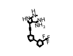 CNc1[nH]cc(C#Cc2cccc(-c3cccc(C(F)(F)F)c3)c2)c1C(=N)N